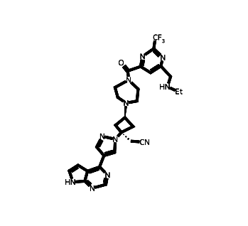 CCNCc1cc(C(=O)N2CCN([C@H]3C[C@@](CC#N)(n4cc(-c5ncnc6[nH]ccc56)cn4)C3)CC2)nc(C(F)(F)F)n1